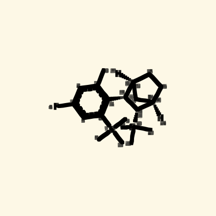 Cc1cc(F)cc([Si](C)(C)C)c1[C@@H]1[C@H]2CC[C@H](C2)[C@@H]1[Si](C)(C)C